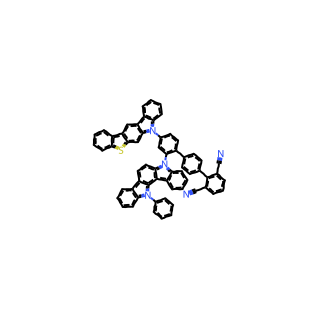 N#Cc1cccc(C#N)c1-c1ccc(-c2ccc(-n3c4ccccc4c4cc5c(cc43)sc3ccccc35)cc2-n2c3ccccc3c3c2ccc2c4ccccc4n(-c4ccccc4)c23)cc1